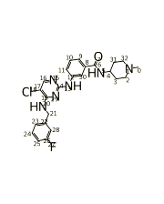 CN1CCC(NC(=O)c2cccc(Nc3ncc(Cl)c(NCc4cccc(F)c4)n3)c2)CC1